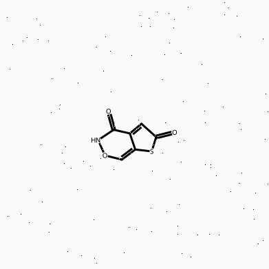 O=c1cc2c(=O)[nH]occ-2s1